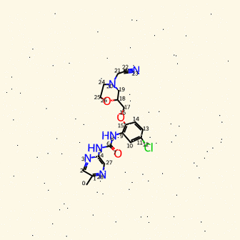 Cc1cnc(NC(=O)Nc2cc(Cl)ccc2OCC2CN(CC#N)CCO2)cn1